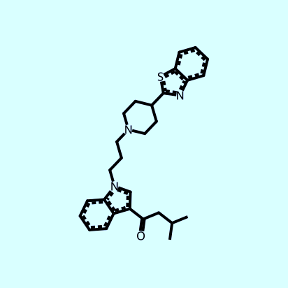 CC(C)CC(=O)c1cn(CCCN2CCC(c3nc4ccccc4s3)CC2)c2ccccc12